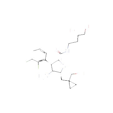 C/C=C\C(=C(\F)CCl)[C@@H]1C(N)[C@H](CC2(CO)CC2)N[C@H]1C(=O)NCC[C@H](O)CO